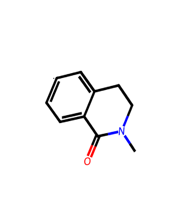 CN1CCc2c[c]ccc2C1=O